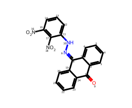 O=C1c2ccccc2C(=NNc2cccc([N+](=O)[O-])c2[N+](=O)[O-])c2ccccc21